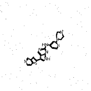 CN1CCN(c2cc(Nc3ncc4c(-c5cc6cnccc6s5)c[nH]c4n3)ccn2)CC1